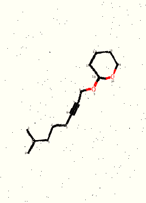 CC(C)CCCC#CCOC1CCCCO1